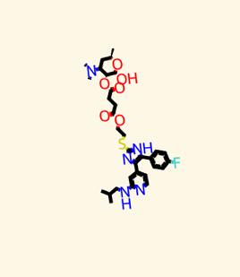 CC(C)CNc1cc(-c2nc(SCCOC(=O)CCC(=O)O[C@@H]3C(N(C)C)C[C@@H](C)O[C@H]3O)[nH]c2-c2ccc(F)cc2)ccn1